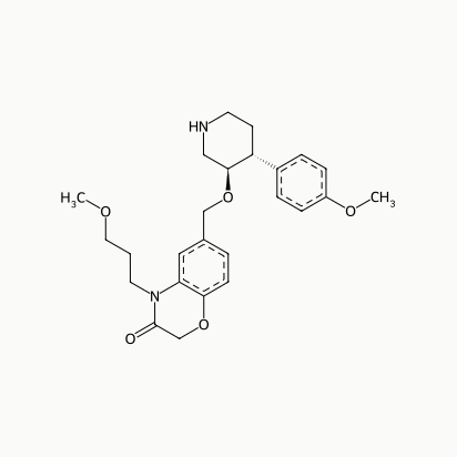 COCCCN1C(=O)COc2ccc(CO[C@H]3CNCC[C@@H]3c3ccc(OC)cc3)cc21